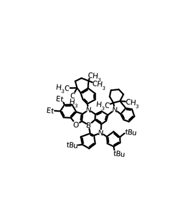 CCc1cc2oc3c(c2cc1CC)N(c1ccc2c(c1)C(C)(C)CCC2(C)C)c1cc(N2c4ccccc4C4(C)CCCCC24C)cc2c1B3c1cc(C(C)(C)C)ccc1N2c1cc(C(C)(C)C)cc(C(C)(C)C)c1